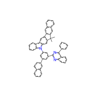 CC1(C)c2cc3ccccc3cc2-c2cc3c4ccccc4n(-c4cc(-c5ccc6ccccc6c5)cc(-c5nc(-c6ccccc6)c6ccccc6n5)c4)c3cc21